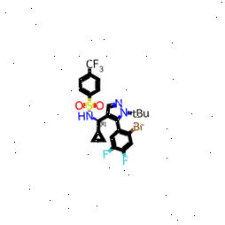 CC(C)(C)n1ncc([C@H](NS(=O)(=O)c2ccc(C(F)(F)F)cc2)C2CC2)c1-c1cc(F)c(F)cc1Br